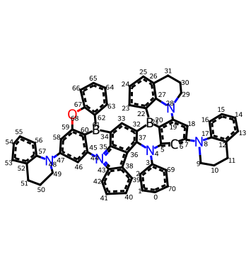 c1ccc(N2c3cc(N4CCCc5ccccc54)cc4c3B(c3cccc5c3N4CCC5)c3cc4c5c(c32)c2ccccc2n5-c2cc(N3CCCc5ccccc53)cc3c2B4c2ccccc2O3)cc1